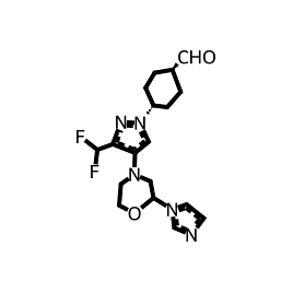 O=C[C@H]1CC[C@H](n2cc(N3CCOC(n4ccnc4)C3)c(C(F)F)n2)CC1